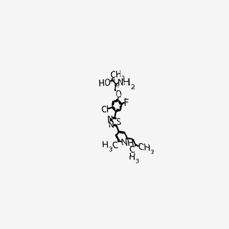 CC1=CC(c2nnc(-c3cc(F)c(OC[C@H](N)[C@@H](C)O)cc3Cl)s2)=CC(CC(C)C)N1